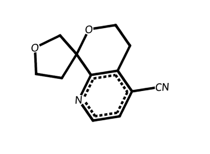 N#Cc1ccnc2c1CCOC21CCOC1